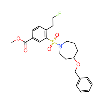 COC(=O)c1ccc(CCF)c(S(=O)(=O)N2CCCC(OCc3ccccc3)CC2)c1